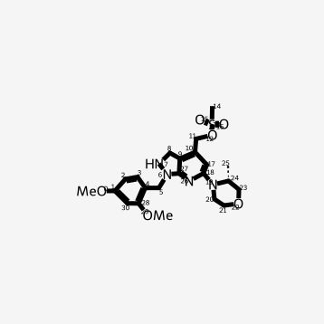 COc1ccc(CN2NCc3c(COS(C)(=O)=O)cc(N4CCOC[C@H]4C)nc32)c(OC)c1